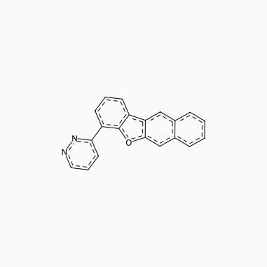 c1cnnc(-c2cccc3c2oc2cc4ccccc4cc23)c1